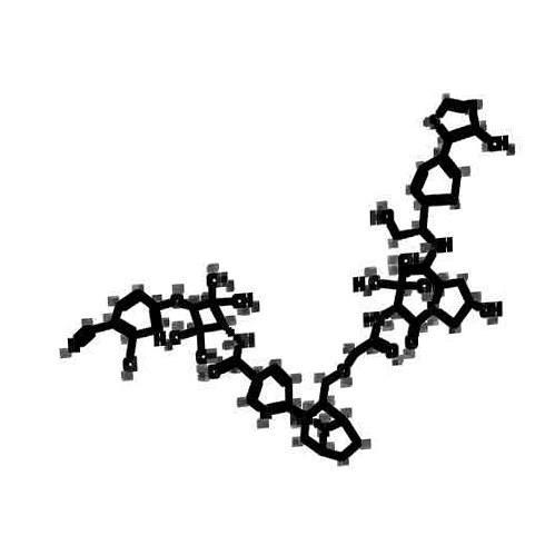 Cc1ncsc1-c1ccc([C@H](CO)NC(=O)C2C[C@@H](O)CN2C(=O)[C@@H](NC(=O)COCC2C3CCC(CN2c2ccc(C(=O)N[C@H]4C(C)(C)[C@H](Oc5ccc(C#N)c(Cl)c5)C4(C)C)cn2)N3C)C(C)(C)C)cc1